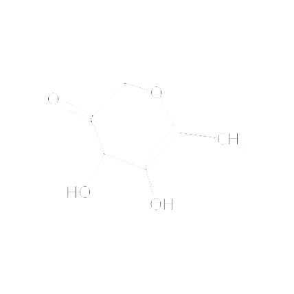 CC1=C(O)C(O)C(=O)CO1